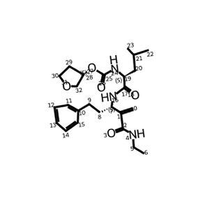 C=C(C(=O)NCC)[C@H](CCc1ccccc1)NC(=O)[C@H](CC(C)C)NC(=O)O[C@H]1CCOC1